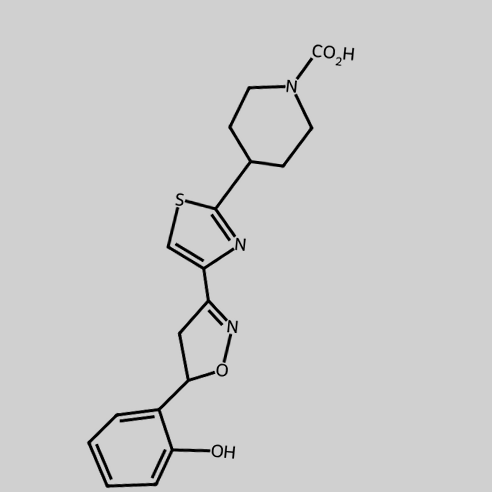 O=C(O)N1CCC(c2nc(C3=NOC(c4ccccc4O)C3)cs2)CC1